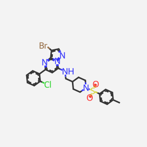 Cc1ccc(S(=O)(=O)N2CCC(CNc3cc(-c4ccccc4Cl)nc4c(Br)cnn34)CC2)cc1